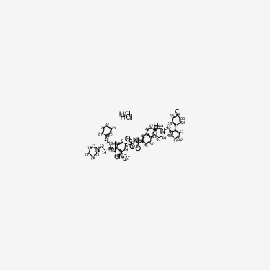 Cl.Cl.O=C(NS(=O)(=O)c1ccc(N[C@H](CCN2CCCCC2)CSc2ccccc2)c([N+](=O)[O-])c1)c1ccc2c(c1)CC[C@H]1CN(Cc3ccccc3-c3ccc(Cl)cc3)CCN21